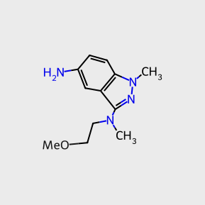 COCCN(C)c1nn(C)c2ccc(N)cc12